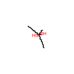 CCCCCCCCCCC(CO)(CCCC)C(O)CCCCCCCCC